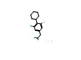 CCOC(=O)C(Cl)Cc1cc(Cl)c(C2CCCCC2)c(Br)c1